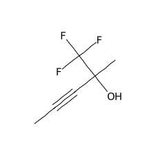 CC#CC(C)(O)C(F)(F)F